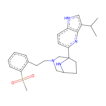 CC(C)c1c[nH]c2ccc(C34CCC(CN(CCc5ccccc5S(C)(=O)=O)C3)N4)nc12